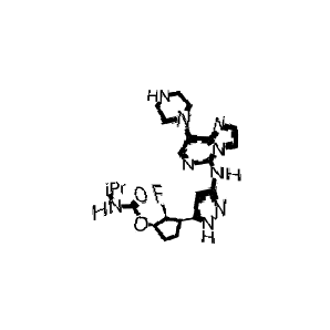 CC(C)NC(=O)O[C@@H]1CC[C@H](c2cc(Nc3ncc(N4CCNCC4)c4nccn34)n[nH]2)[C@@H]1F